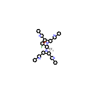 Fc1cccc(F)c1-c1cc(-n2c3ccc(-c4ccc(-c5ccccc5)nc4)cc3c3cc(-c4ccc(-c5ccccc5)nc4)ccc32)c(C(F)(F)F)cc1-n1c2ccc(-c3ccc(-c4ccccc4)nc3)cc2c2cc(-c3ccc(-c4ccccc4)nc3)ccc21